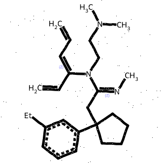 C=C/C=C(/C=C)N(CCN(C)C)/C(CC1(c2cccc(CC)c2)CCCC1)=N\C